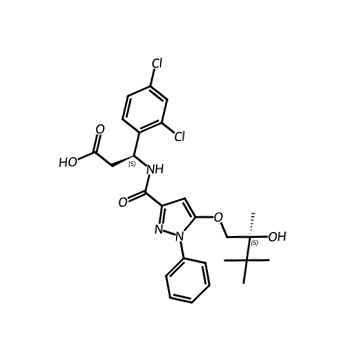 CC(C)(C)[C@](C)(O)COc1cc(C(=O)N[C@@H](CC(=O)O)c2ccc(Cl)cc2Cl)nn1-c1ccccc1